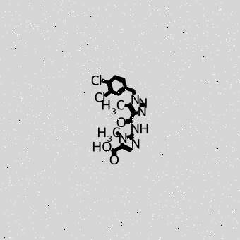 Cc1c(C(=O)Nc2ncc(C(=O)O)n2C)nnn1Cc1ccc(Cl)c(Cl)c1